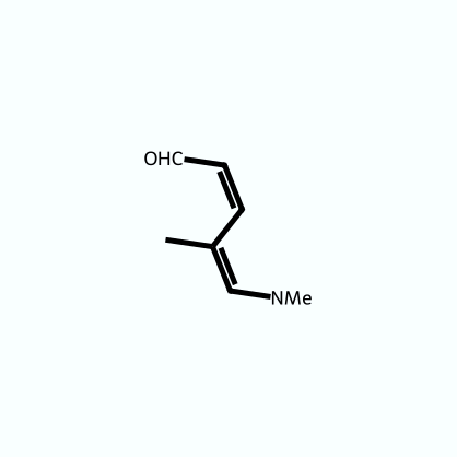 CN/C=C(C)\C=C/C=O